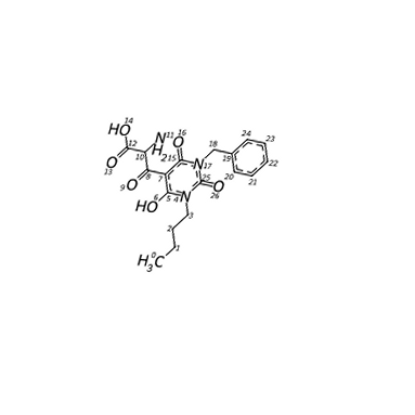 CCCCn1c(O)c(C(=O)C(N)C(=O)O)c(=O)n(Cc2ccccc2)c1=O